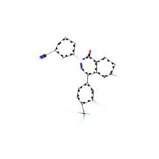 N#Cc1cccc(-n2cc(-c3ccc(C(F)(F)F)c(F)c3)c3cc(O)ccc3c2=O)c1